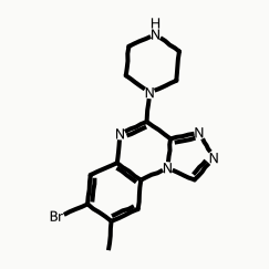 Cc1cc2c(cc1Br)nc(N1CCNCC1)c1nncn12